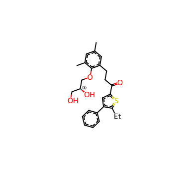 CCc1sc(C(=O)CCc2cc(C)cc(C)c2OC[C@@H](O)CO)cc1-c1ccccc1